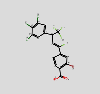 O=C(O)c1ccc(/C(F)=C/C(c2cc(Cl)c(Cl)c(Cl)c2)C(F)(F)F)cc1Br